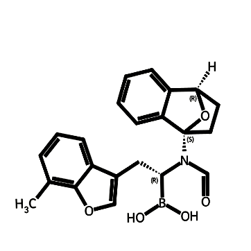 Cc1cccc2c(C[C@@H](B(O)O)N(C=O)[C@@]34CC[C@@H](O3)c3ccccc34)coc12